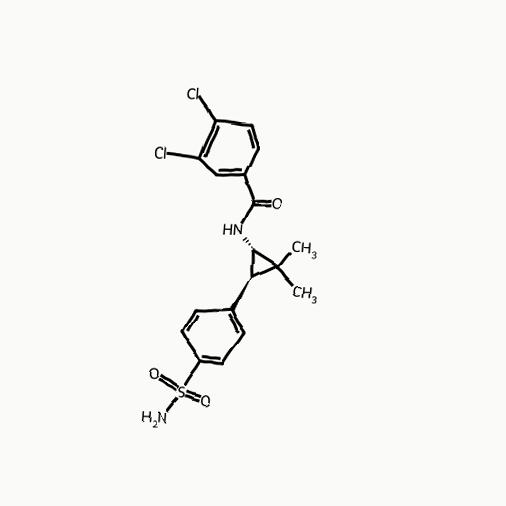 CC1(C)[C@@H](NC(=O)c2ccc(Cl)c(Cl)c2)[C@@H]1c1ccc(S(N)(=O)=O)cc1